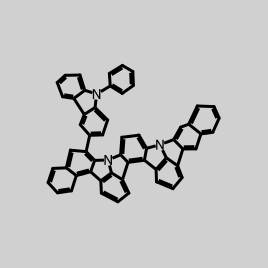 c1ccc(-n2c3ccccc3c3cc(-c4cc5ccccc5c5c6cccc7c8c9c%10cccc%11c%12cc%13ccccc%13cc%12n(c9ccc8n(c45)c76)c%11%10)ccc32)cc1